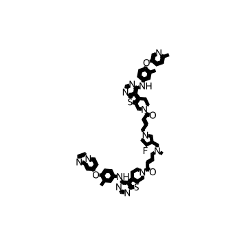 Cc1ccc(Oc2ccc(Nc3ncnc4sc5c(c34)CCN(C(=O)/C=C/CN3CC(CN(C)C/C=C/C(=O)N4CCc6c(sc7ncnc(Nc8ccc(Oc9ccn%10ccnc%10c9)c(C)c8)c67)C4)[C@H](F)C3)C5)cc2C)cn1